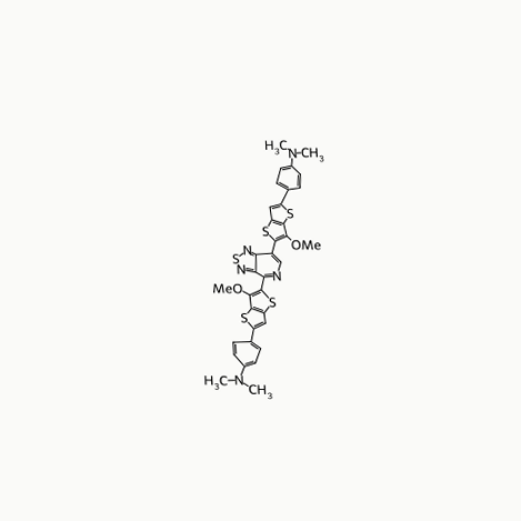 COc1c(-c2cnc(-c3sc4cc(-c5ccc(N(C)C)cc5)sc4c3OC)c3nsnc23)sc2cc(-c3ccc(N(C)C)cc3)sc12